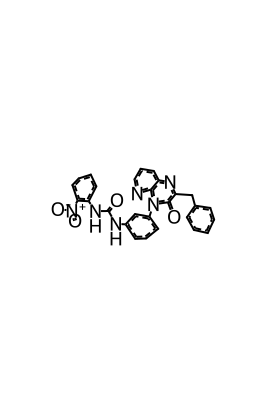 O=C(Nc1cccc(-n2c(=O)c(Cc3ccccc3)nc3cccnc32)c1)Nc1ccccc1[N+](=O)[O-]